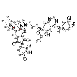 C=CC(=O)Nc1cc2c(Nc3ccc(F)c(Cl)c3)ncnc2cc1OCCCN1CCC(CN2C3CCC2CN(c2cc4c(cc2F)C(=O)N(C2CCC(=O)NC2=O)C4=O)C3)CC1